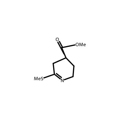 COC(=O)C1CCN=C(SC)C1